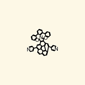 O=c1c2c3cc(-c4ccncc4)c4ccc5ccc6c(-c7ccncc7)cc(c2c(=O)n1-c1c(-c2ccccc2)cccc1-c1ccccc1)c1c6c5c4c31